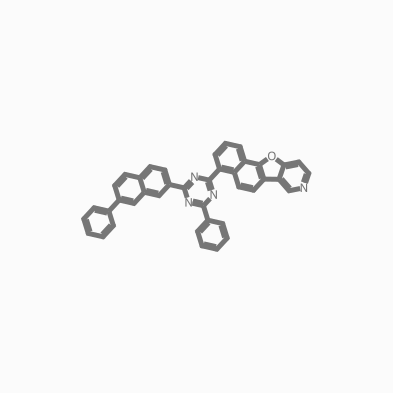 c1ccc(-c2ccc3ccc(-c4nc(-c5ccccc5)nc(-c5cccc6c5ccc5c7cnccc7oc65)n4)cc3c2)cc1